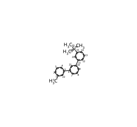 Cc1cccc(-c2cccc(-c3cccc([Si](C)(C)C)c3)c2)c1